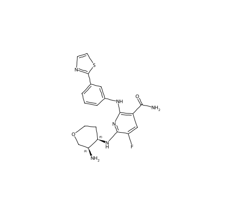 NC(=O)c1cc(F)c(N[C@@H]2CCOC[C@@H]2N)nc1Nc1cccc(-c2nccs2)c1